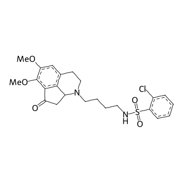 COc1cc2c3c(c1OC)C(=O)CC3N(CCCCNS(=O)(=O)c1ccccc1Cl)CC2